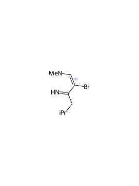 CN/C=C(/Br)C(=N)CC(C)C